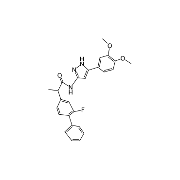 COc1ccc(-c2cc(NC(=O)C(C)c3ccc(-c4ccccc4)c(F)c3)n[nH]2)cc1OC